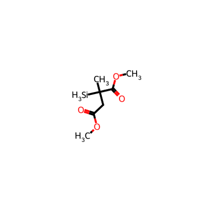 COC(=O)CC(C)([SiH3])C(=O)OC